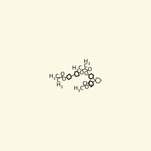 CC(C)Oc1ccc(C2(c3ccc(OC(=O)C(C)C(C)Oc4ccc(-c5ccc(OC(=O)C(C)C)cc5)cc4)cc3)CCCCC2)cc1